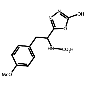 COc1ccc(CC(NC(=O)O)c2nnc(O)o2)cc1